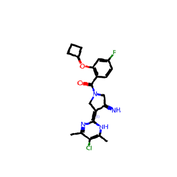 CC1=N/C(=C2\CN(C(=O)c3ccc(F)cc3OC3CCC3)CC2=N)NC(C)=C1Cl